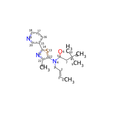 C/C=C/CN(C(=O)CC(C)(C)C)c1sc(-c2cccnc2)nc1C